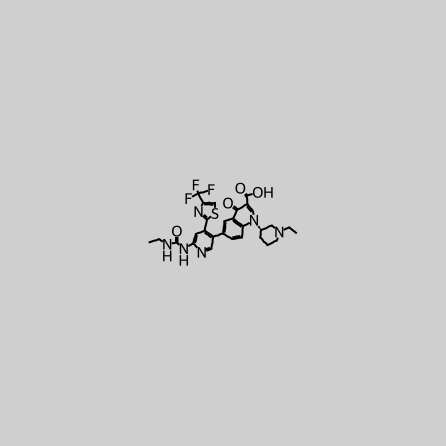 CCNC(=O)Nc1cc(-c2nc(C(F)(F)F)cs2)c(-c2ccc3c(c2)c(=O)c(C(=O)O)cn3[C@@H]2CCCN(CC)C2)cn1